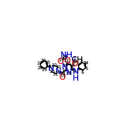 COc1ccccc1Nc1cc(OC(N)=O)nc(C(=O)N2CCN(c3ccccc3)CC2)n1